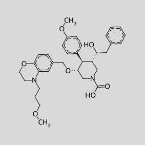 COCCCN1CCOc2ccc(CO[C@H]3CN(C(=O)O)C[C@@H](C(O)Cc4ccccc4)[C@@H]3c3ccc(OC)cc3)cc21